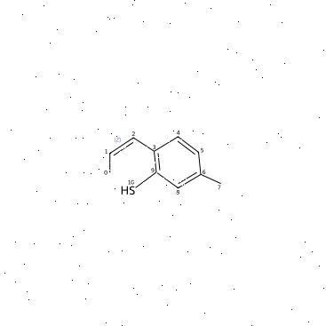 C/C=C\c1ccc(C)cc1S